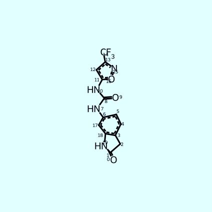 O=C1Cc2ccc(NC(=O)Nc3cc(C(F)(F)F)no3)cc2N1